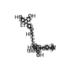 CCC(=C(c1ccc(O)cc1)c1ccc(OCCNCCCCCCC(=O)NC(C(=O)N2C[C@H](O)C[C@H]2C(=O)NCc2ccc(-c3scnc3C)cc2)C(C)(C)C)cc1)c1ccc(O)cc1